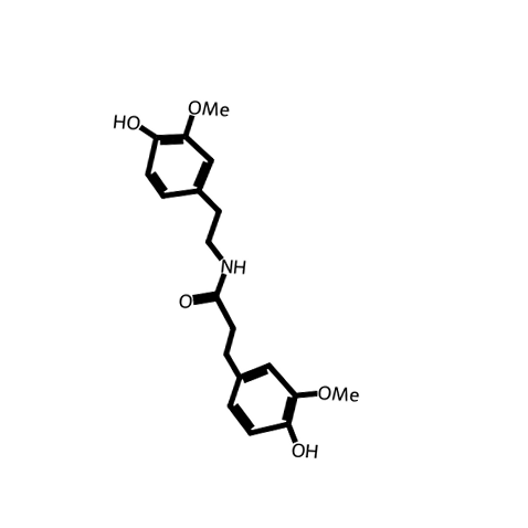 COc1cc(CCNC(=O)CCc2ccc(O)c(OC)c2)ccc1O